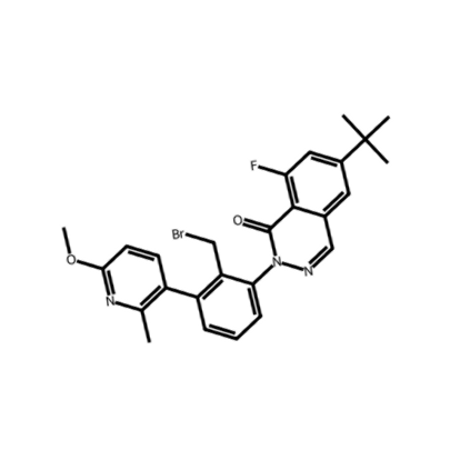 COc1ccc(-c2cccc(-n3ncc4cc(C(C)(C)C)cc(F)c4c3=O)c2CBr)c(C)n1